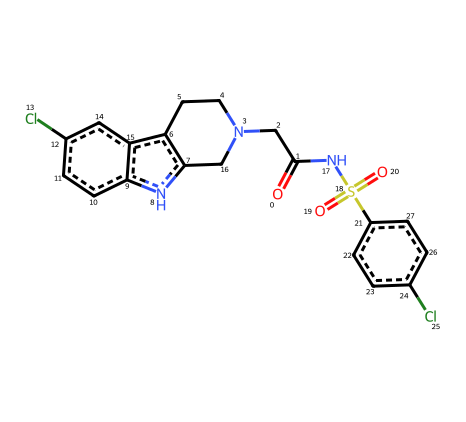 O=C(CN1CCc2c([nH]c3ccc(Cl)cc23)C1)NS(=O)(=O)c1ccc(Cl)cc1